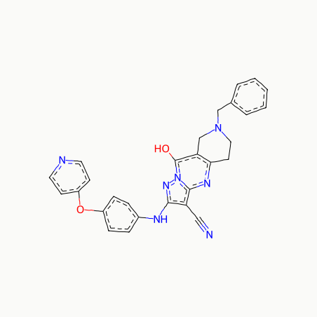 N#Cc1c(Nc2ccc(Oc3ccncc3)cc2)nn2c(O)c3c(nc12)CCN(Cc1ccccc1)C3